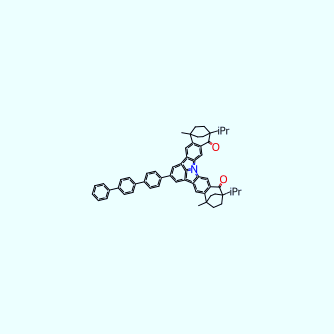 CC(C)C12CCC(C)(CC1)c1cc3c4cc(-c5ccc(-c6ccc(-c7ccccc7)cc6)cc5)cc5c6cc7c(cc6n(c3cc1C2=O)c45)C(=O)C1(C(C)C)CCC7(C)CC1